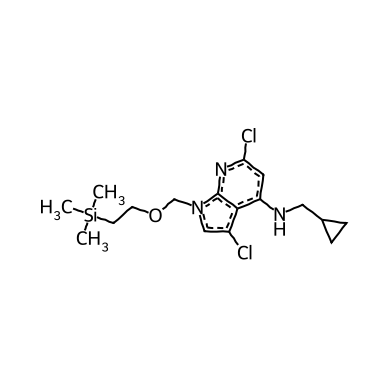 C[Si](C)(C)CCOCn1cc(Cl)c2c(NCC3CC3)cc(Cl)nc21